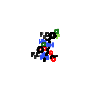 Cc1nc(C(OC2CO[C@@H]2C)[C@@H](O)CN/C=C(\C=N)c2cc(F)c(Cl)cc2C(F)(F)F)n(-c2cc(Cl)ccc2C(F)(F)F)n1